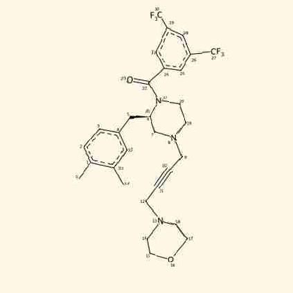 Cc1ccc(C[C@@H]2CN(CC#CCN3CCOCC3)CCN2C(=O)c2cc(C(F)(F)F)cc(C(F)(F)F)c2)cc1C